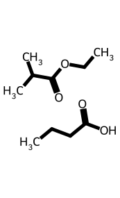 CCCC(=O)O.CCOC(=O)C(C)C